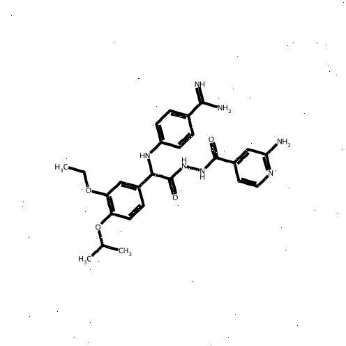 CCOc1cc(C(Nc2ccc(C(=N)N)cc2)C(=O)NNC(=O)c2ccnc(N)c2)ccc1OC(C)C